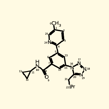 Cc1ccc(-c2cc(C(=O)NC3CC3)cc(-n3nnnc3CC(C)C)c2)nc1